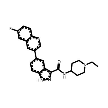 CCN1CCC(NC(=O)c2n[nH]c3ccc(-c4cnc5ccc(F)cc5c4)cc23)CC1